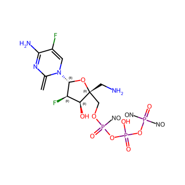 C=C1N=C(N)C(F)=CN1[C@@H]1O[C@](CN)(COP(=O)(N=O)OP(=O)(O)OP(=O)(N=O)N=O)[C@@H](O)[C@H]1F